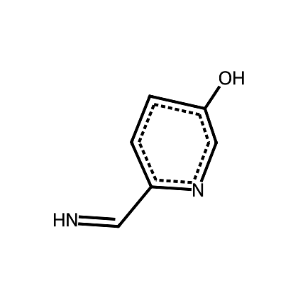 N=Cc1ccc(O)cn1